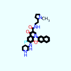 CN1CCCC1CCNC(=O)c1cn2c3c(c(NC4CCCNC4)c(F)cc3c1=O)Oc1cc3ccccc3cc1-2